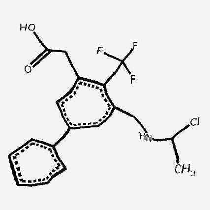 CC(Cl)NCc1cc(-c2ccccc2)cc(CC(=O)O)c1C(F)(F)F